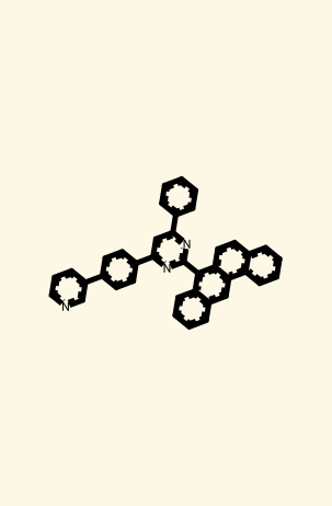 c1ccc(-c2cc(-c3ccc(-c4cccnc4)cc3)nc(-c3c4ccccc4cc4c3ccc3ccccc34)n2)cc1